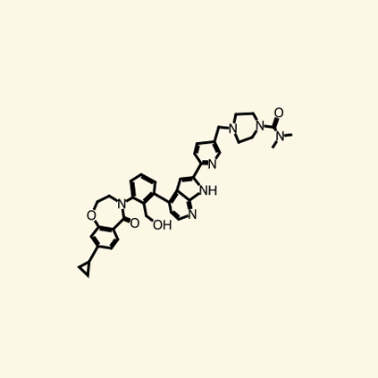 CN(C)C(=O)N1CCN(Cc2ccc(-c3cc4c(-c5cccc(N6CCOc7cc(C8CC8)ccc7C6=O)c5CO)ccnc4[nH]3)nc2)CC1